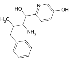 CC(Cc1ccccc1)C(N)C(O)c1ccc(O)cn1